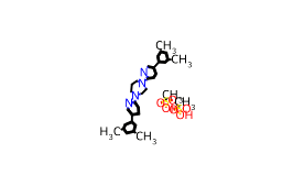 CS(=O)(=O)O.CS(=O)(=O)O.Cc1cc(C)cc(-c2ccc(N3CCCN(c4ccc(-c5cc(C)cc(C)c5)cn4)CC3)nc2)c1